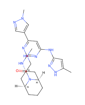 CNCC(=O)N1[C@@H]2CCC[C@H]1C[C@H](Nc1nc(Nc3cc(C)[nH]n3)cc(-c3cnn(C)c3)n1)C2